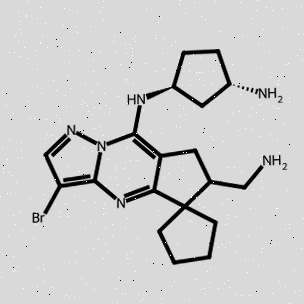 NCC1Cc2c(nc3c(Br)cnn3c2N[C@H]2CC[C@H](N)C2)C12CCCC2